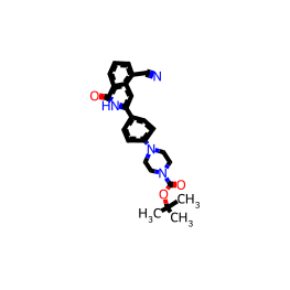 CC(C)(C)OC(=O)N1CCN(c2ccc(-c3cc4c(C#N)cccc4c(=O)[nH]3)cc2)CC1